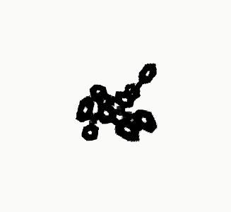 c1ccc(-c2cc3cc4c(cc3o2)-n2c3ccccc3c3c(N(c5ccccc5)c5ccccc5)cc5c(c32)B4n2c3ccccc3c3cccc-5c32)cc1